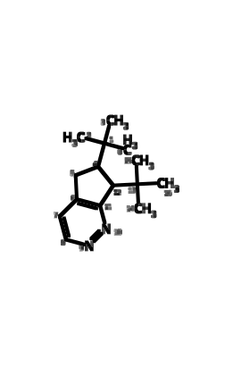 CC(C)(C)C1Cc2ccnnc2C1C(C)(C)C